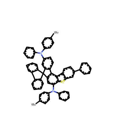 CC(C)(C)c1ccc(N(c2ccccc2)c2ccc3c(c2)C2(c4ccccc4-c4ccccc42)c2cc(N(c4ccccc4)c4ccc(C(C)(C)C)cc4)c4sc5cc(-c6ccccc6)ccc5c4c2-3)cc1